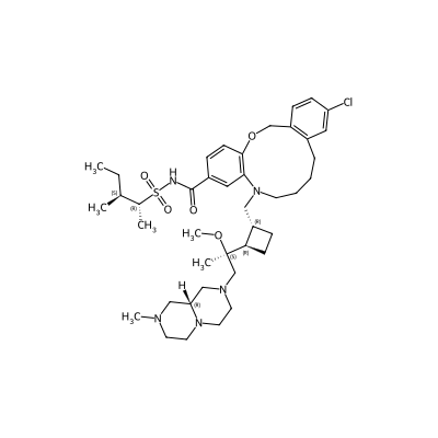 CC[C@H](C)[C@@H](C)S(=O)(=O)NC(=O)c1ccc2c(c1)N(C[C@@H]1CC[C@H]1[C@@](C)(CN1CCN3CCN(C)C[C@@H]3C1)OC)CCCCc1cc(Cl)ccc1CO2